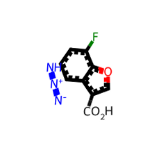 O=C(O)c1coc2c(F)cccc12.[N-]=[N+]=N